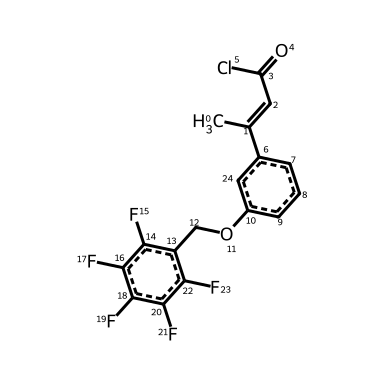 C/C(=C\C(=O)Cl)c1cccc(OCc2c(F)c(F)c(F)c(F)c2F)c1